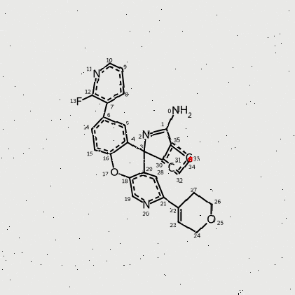 NC1=NC2(c3cc(-c4cccnc4F)ccc3Oc3cnc(C4=CCOCC4)cc32)c2ccccc21